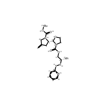 C=C1C[C@@H](C2OCCN2C(=O)OC[C@@H](SSc2ccccn2)C(C)C)N(C(=O)OC(C)(C)C)C1